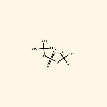 CCCC(C)(C)OS(=O)(=O)OC(C)(C)CCC